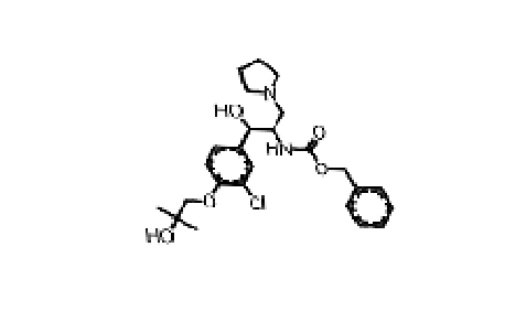 CC(C)(O)COc1ccc(C(O)[C@@H](CN2CCCC2)NC(=O)OCc2ccccc2)cc1Cl